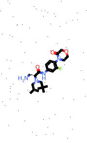 CC(C)CN(CC(C)(C)C)[C@H](CN)C(=O)Nc1ccc(N2CCOCC2=O)c(F)c1